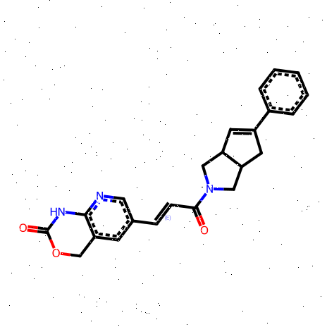 O=C1Nc2ncc(/C=C/C(=O)N3CC4C=C(c5ccccc5)CC4C3)cc2CO1